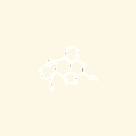 COc1cccc2nc(C)c3nnc(-c4ccncc4Cl)n3c12